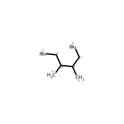 CCC(C)C[C](C)C(C)CC(C)CC